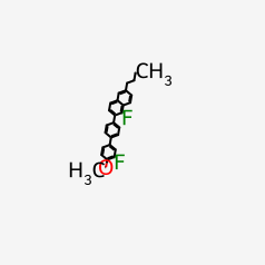 CCCCc1ccc2c(F)c(-c3ccc(-c4ccc(OC)c(F)c4)cc3)ccc2c1